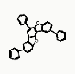 c1ccc(-c2ccc3oc4c(cc(-c5ccccc5)c5oc6ccc(-c7ccccc7)cc6c54)c3c2)cc1